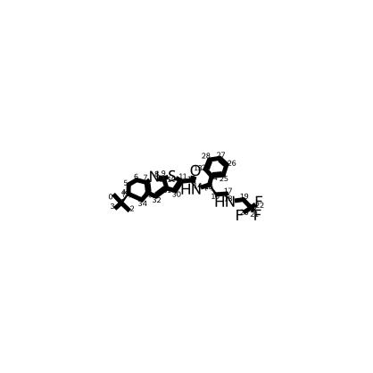 CC(C)(C)[C@H]1CCc2nc3sc(C(=O)N[C@H](CCNCC(F)(F)F)c4ccccc4)cc3cc2C1